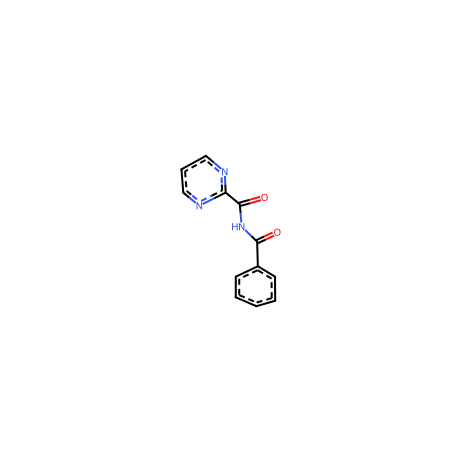 O=C(NC(=O)c1ncccn1)c1ccccc1